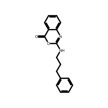 O=c1oc(NCCCc2ccccc2)nc2ccccc12